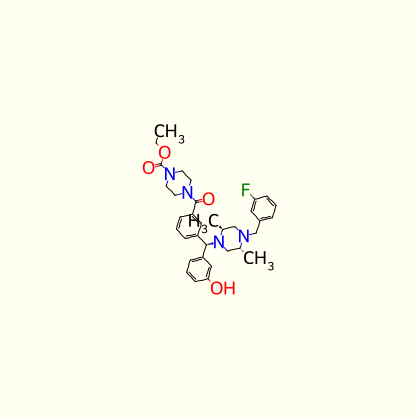 CCOC(=O)N1CCN(C(=O)c2cccc([C@H](c3cccc(O)c3)N3C[C@@H](C)N(Cc4cccc(F)c4)C[C@@H]3C)c2)CC1